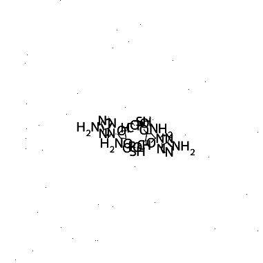 Nc1ncnc2c1ncn2[C@@H]1O[C@@H]2COP(=O)(S)OC3C(N)[C@H](n4cnc5c(N)ncnc54)O[C@@H]3COP(=O)(S)OC2C1N